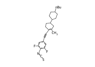 CCCCC1CCC(C2CCC(C#Cc3cc(F)c(N=C=S)c(F)c3)=C(C)C2)CC1